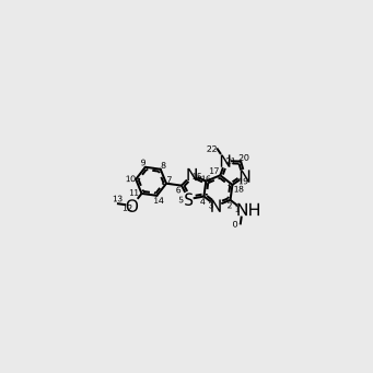 CNc1nc2sc(-c3cccc(OC)c3)nc2c2c1ncn2C